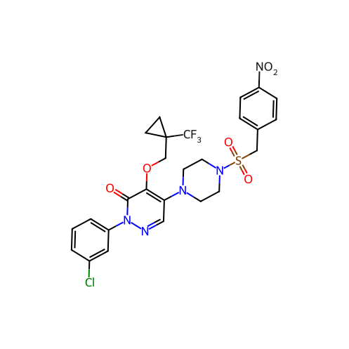 O=c1c(OCC2(C(F)(F)F)CC2)c(N2CCN(S(=O)(=O)Cc3ccc([N+](=O)[O-])cc3)CC2)cnn1-c1cccc(Cl)c1